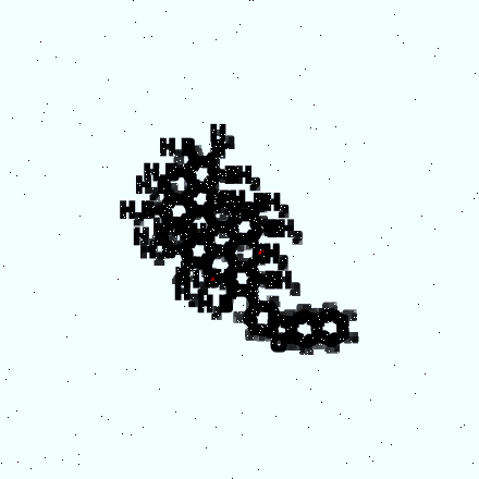 Bc1c(B)c(-c2c3c(B)c(B)c(B)c(B)c3c(-c3c(B)c4c(B)c(B)c(B)c(B)c4c4c(B)c(B)c(B)c(B)c34)c3c(B)c(B)c(B)c(B)c23)c(B)c(B)c1-c1ccc2oc3cc4ccccc4cc3c2c1